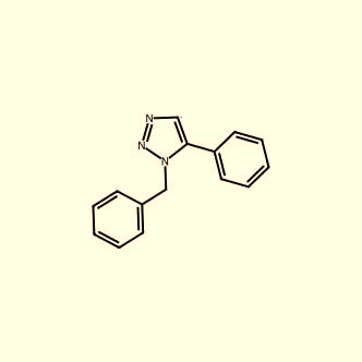 [c]1nnn(Cc2ccccc2)c1-c1ccccc1